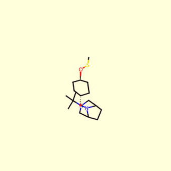 CSO[C@H]1CC[C@H](CN2C3CCC2CN(C(C)(C)C)C3)CC1